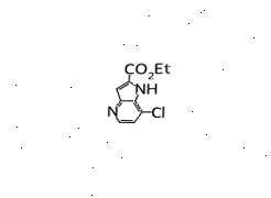 CCOC(=O)c1cc2nccc(Cl)c2[nH]1